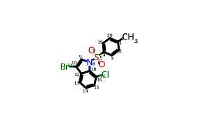 Cc1ccc(S(=O)(=O)n2cc(Br)c3cccc(Cl)c32)cc1